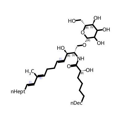 CCCCCCC/C=C/C(C)=C/CC/C=C/[C@@H](O)[C@H](CO[C@@H]1O[C@H](CO)[C@@H](O)C(O)C1O)NC(=O)[C@H](O)CCCCCCCCCCCCCC